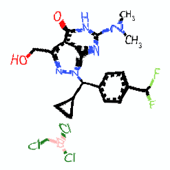 CN(C)c1nc2c(c(CO)nn2C(c2ccc(C(F)F)cc2)C2CC2)c(=O)[nH]1.ClB(Cl)Cl